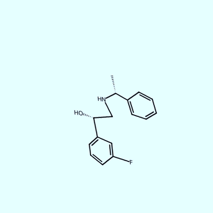 C[C@@H](NC[C@@H](O)c1cccc(F)c1)c1ccccc1